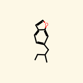 CCC(C)Cc1ccc2ccoc2c1